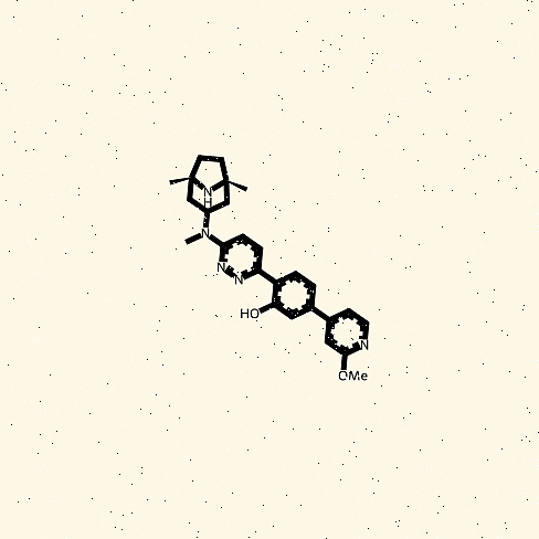 COc1cc(-c2ccc(-c3ccc(N(C)C4C[C@]5(C)CC[C@](C)(C4)N5)nn3)c(O)c2)ccn1